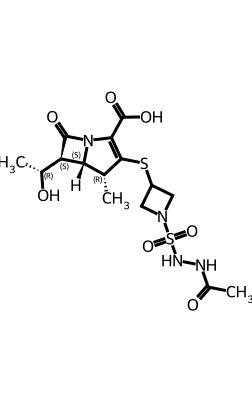 CC(=O)NNS(=O)(=O)N1CC(SC2=C(C(=O)O)N3C(=O)[C@H]([C@@H](C)O)[C@H]3[C@H]2C)C1